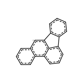 [c]1c2c3c(cccc3c3ccccc13)-c1ccccc1-2